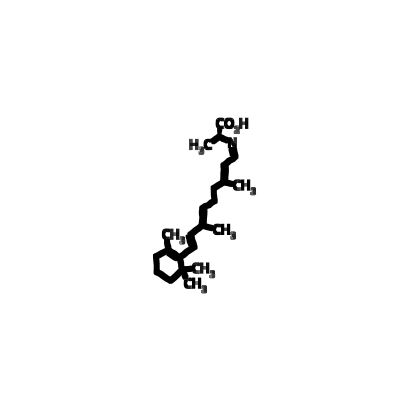 CC1=C(/C=C/C(C)=C/CC/C(C)=C/C=N\[C@@H](C)C(=O)O)C(C)(C)CCC1